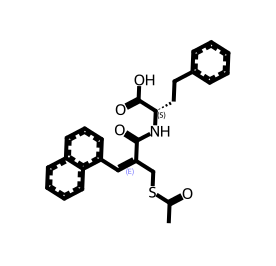 CC(=O)SC/C(=C/c1cccc2ccccc12)C(=O)N[C@@H](CCc1ccccc1)C(=O)O